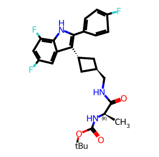 C[C@@H](NC(=O)OC(C)(C)C)C(=O)NC[C@H]1C[C@H](c2c(-c3ccc(F)cc3)[nH]c3c(F)cc(F)cc32)C1